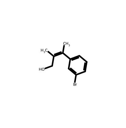 C/C(CO)=C(\C)c1cccc(Br)c1